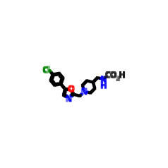 O=C(O)NCC1CCN(Cc2ncc(-c3ccc(Cl)cc3)o2)CC1